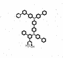 C#C/C=C(\C=C/C)c1cc(-c2ccccc2)cc(N(c2ccc(-c3ccccc3)cc2)c2ccc(-c3ccc(N(c4ccc(-c5ccccc5)cc4)c4ccc(-c5cccc(C6C=CC=CC6)c5)cc4)cc3)cc2)c1